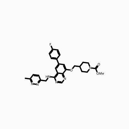 COC(=O)N1CCC(COc2cc(-c3ccc(F)cc3)cc3c(NCc4ccc(C)nn4)ncnc23)CC1